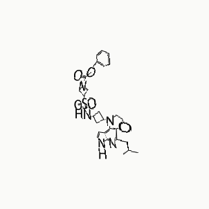 CC(C)Cc1nc2[nH]ccc2c2c1OCCN2[C@H]1C[C@@H](NS(=O)(=O)C2CN(C(=O)OCc3ccccc3)C2)C1